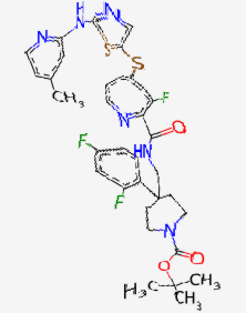 Cc1ccnc(Nc2ncc(Sc3ccnc(C(=O)NCC4(c5ccc(F)cc5F)CCN(C(=O)OC(C)(C)C)CC4)c3F)s2)c1